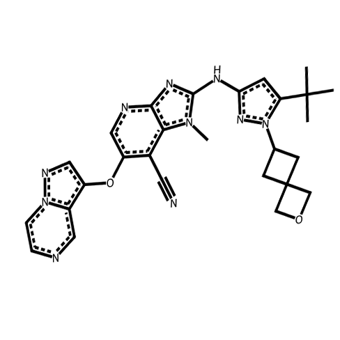 Cn1c(Nc2cc(C(C)(C)C)n(C3CC4(COC4)C3)n2)nc2ncc(Oc3cnn4ccncc34)c(C#N)c21